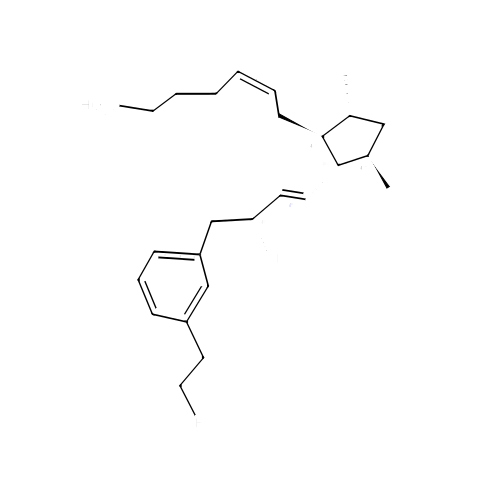 O=C(O)CCC/C=C\C[C@@H]1[C@@H](/C=C/[C@H](O)Cc2cccc(CCF)c2)[C@H](O)C[C@H]1Cl